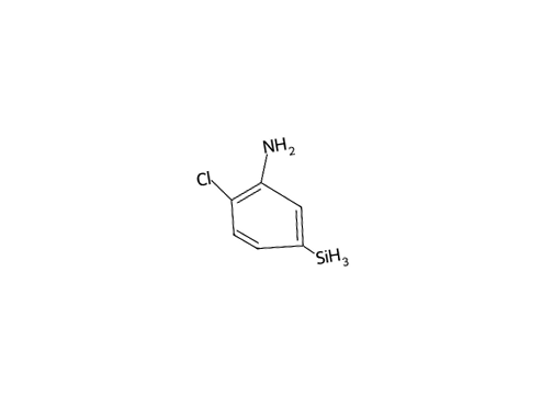 Nc1cc([SiH3])ccc1Cl